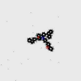 c1ccc(-c2ccc(-c3cc4ccccc4c4ccccc34)cc2N(c2ccc(-c3ccc4c(ccc5ccccc54)c3)cc2)c2ccc(-c3ccc4c(c3)oc3ccccc34)cc2)cc1